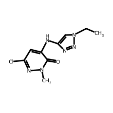 CCn1cc(Nc2cc(Cl)nn(C)c2=O)nn1